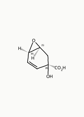 O=C(O)[C@]1(O)C=C[C@H]2O[C@H]2C1